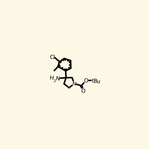 Cc1c(Cl)cccc1C1(N)CCN(C(=O)OC(C)(C)C)C1